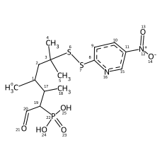 CC(CC(C)(C)SSc1ccc([N+](=O)[O-])cn1)C(C)C(C=O)P(=O)(O)O